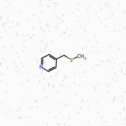 CSCc1ccncc1